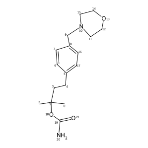 CC(C)(CCc1ccc(CN2CCOCC2)cc1)OC(N)=O